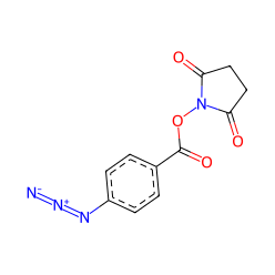 [N-]=[N+]=Nc1ccc(C(=O)ON2C(=O)CCC2=O)cc1